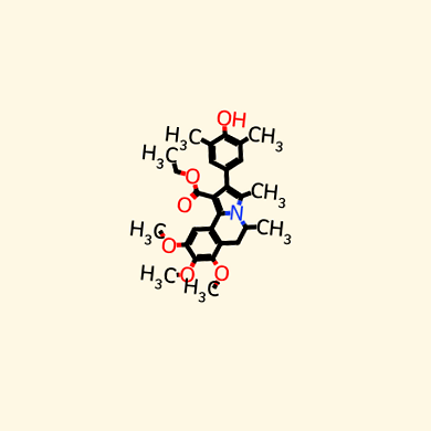 CCOC(=O)c1c(-c2cc(C)c(O)c(C)c2)c(C)n2c1-c1cc(OC)c(OC)c(OC)c1CC2C